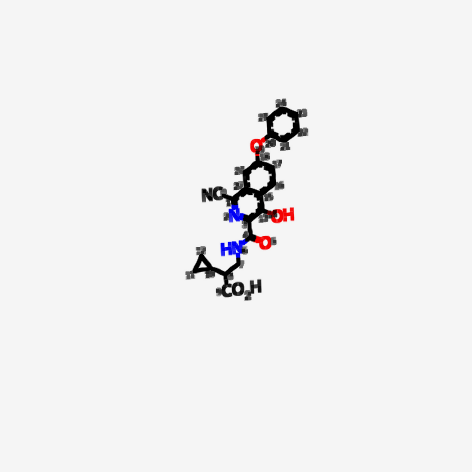 N#Cc1nc(C(=O)NCC(C(=O)O)C2CC2)c(O)c2ccc(Oc3ccccc3)cc12